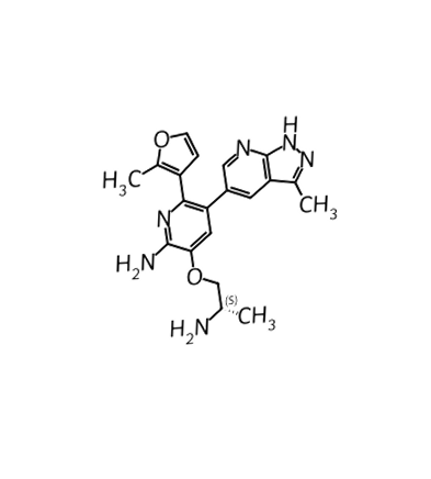 Cc1occc1-c1nc(N)c(OC[C@H](C)N)cc1-c1cnc2[nH]nc(C)c2c1